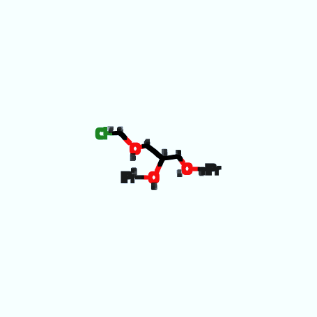 CC(C)OCC(COCCl)OC(C)C